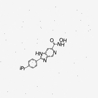 CC(C)c1ccc(-c2nc3cnc(C(=O)NO)cc3[nH]2)cc1